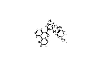 O=C(c1ccccc1-c1ncccn1)N1C[C@H]2C[C@@H](Nc3cnc(C(F)(F)F)cn3)[C@@H]1C2